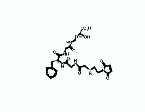 O=C(CNCCN1C(=O)C=CC1=O)NCC(=O)N[C@@H](Cc1ccccc1)C(=O)NCC(=O)NCO[C@H](O)C(=O)O